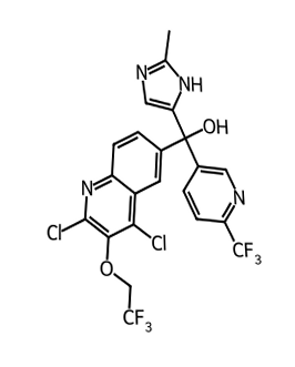 Cc1ncc(C(O)(c2ccc(C(F)(F)F)nc2)c2ccc3nc(Cl)c(OCC(F)(F)F)c(Cl)c3c2)[nH]1